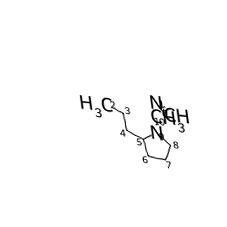 C#N.CCCC1CCCN1C